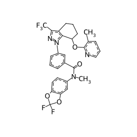 Cc1cccnc1OC1CCCc2c(C(F)(F)F)nn(-c3cccc(C(=O)N(C)c4ccc5c(c4)OC(F)(F)O5)c3)c21